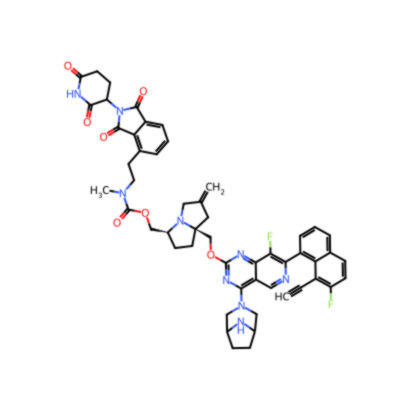 C#Cc1c(F)ccc2cccc(-c3ncc4c(N5CC6CCC(C5)N6)nc(OC[C@@]56CC[C@@H](COC(=O)N(C)CCc7cccc8c7C(=O)N(C7CCC(=O)NC7=O)C8=O)N5CC(=C)C6)nc4c3F)c12